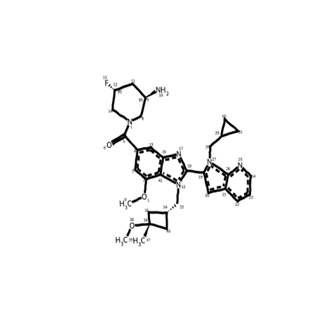 COc1cc(C(=O)N2C[C@H](N)C[C@@H](F)C2)cc2nc(-c3cc4cccnc4n3CC3CC3)n(C[C@H]3C[C@@](C)(OC)C3)c12